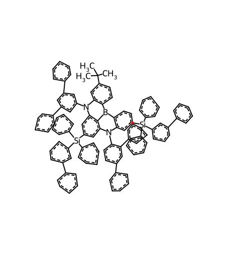 CC(C)(C)c1ccc2c(c1)N(c1cc(-c3ccccc3)cc(-c3ccccc3)c1)c1cc([Si](c3ccccc3)(c3ccccc3)c3cccc(-c4ccccc4)c3)cc3c1B2c1ccc([Si](c2ccccc2)(c2ccccc2)c2cccc(-c4ccccc4)c2)cc1N3c1ccc(-c2ccccc2)cc1-c1ccccc1